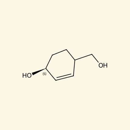 OCC1C=C[C@@H](O)CC1